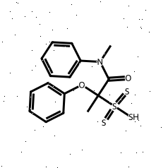 CN(C(=O)C(C)(Oc1ccccc1)S(=S)(=S)S)c1ccccc1